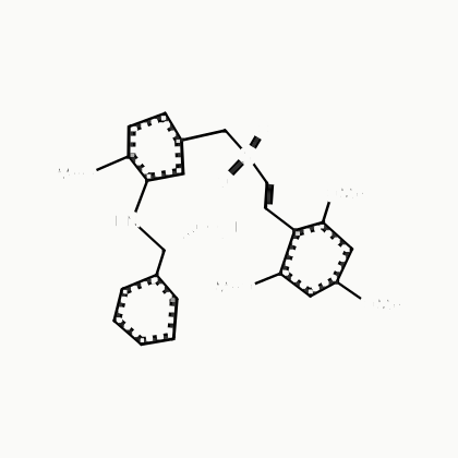 COc1cc(OC)c(/C=C/S(=O)(=O)Cc2ccc(OC)c(N[C@H](C(=O)O)c3ccccc3)c2)c(OC)c1